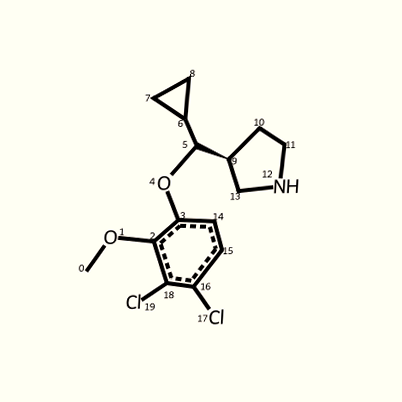 COc1c(OC(C2CC2)[C@H]2CCNC2)ccc(Cl)c1Cl